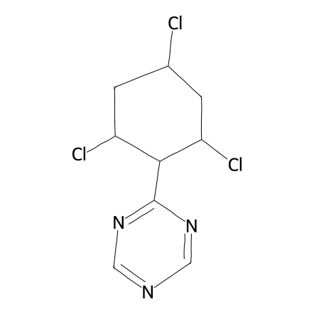 ClC1CC(Cl)C(c2ncncn2)C(Cl)C1